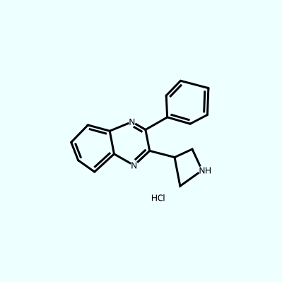 Cl.c1ccc(-c2nc3ccccc3nc2C2CNC2)cc1